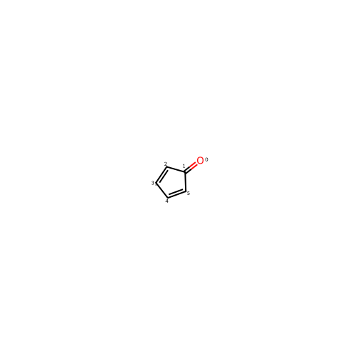 O=C1C=[C]C=C1